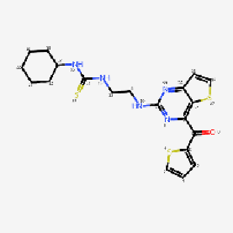 O=C(c1cccs1)c1nc(NCCNC(=S)NC2CCCCC2)nc2ccsc12